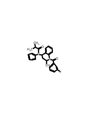 CC(C)C(=O)N(c1ccccc1)C1CC(C)N(C(=O)c2cccc(F)c2)c2ccccc21